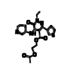 CCn1nc(-c2ccsc2)c(C(=O)OCCOC(C)=O)c(Nc2cccnc2)c1=O